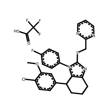 COc1cc(C2CCCc3nc(SCc4ncccn4)n(-c4ccc(F)cc4)c32)ccc1Cl.O=C(O)C(F)(F)F